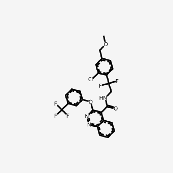 COCc1ccc(C(F)(F)CNC(=O)c2c(Oc3cccc(C(F)(F)F)c3)nnc3ccccc23)c(Cl)c1